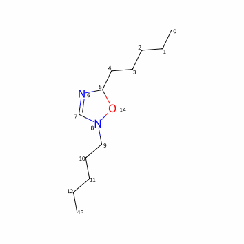 CCCCCC1N=CN(CCCCC)O1